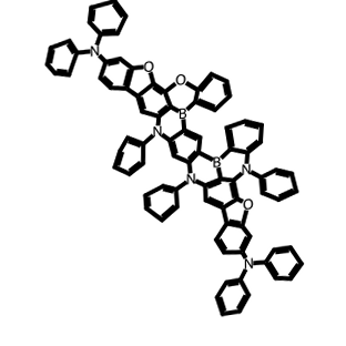 c1ccc(N(c2ccccc2)c2ccc3c(c2)oc2c4c5c(cc23)N(c2ccccc2)c2cc3c(cc2B5c2ccccc2O4)B2c4ccccc4N(c4ccccc4)c4c2c(cc2c4oc4cc(N(c5ccccc5)c5ccccc5)ccc42)N3c2ccccc2)cc1